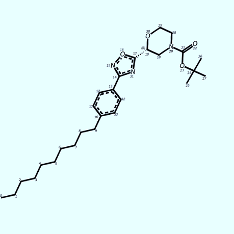 CCCCCCCCCCc1ccc(-c2noc([C@H]3CN(C(=O)OC(C)(C)C)CCO3)n2)cc1